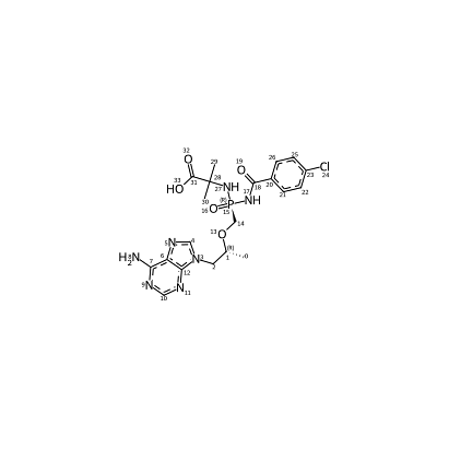 C[C@H](Cn1cnc2c(N)ncnc21)OC[P@](=O)(NC(=O)c1ccc(Cl)cc1)NC(C)(C)C(=O)O